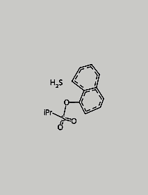 CC(C)S(=O)(=O)Oc1cccc2ccccc12.S